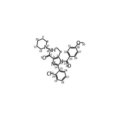 CCc1c(C(=O)NN2CCCCC2)nc(-c2ccccc2Cl)n1C(=O)c1ccc(OC)cc1